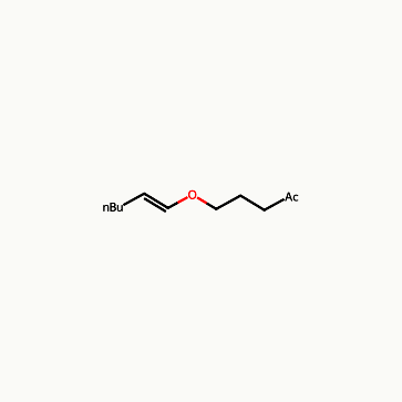 CCCCC=COCCCC(C)=O